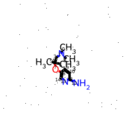 CN(C)CC(C)(C)Oc1ccc(N)nc1